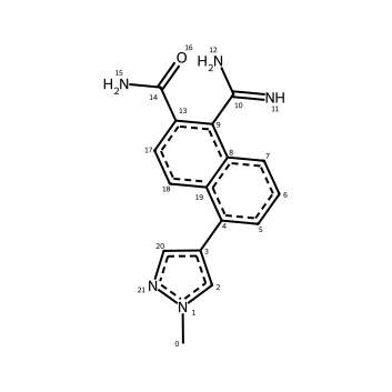 Cn1cc(-c2cccc3c(C(=N)N)c(C(N)=O)ccc23)cn1